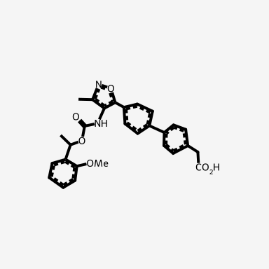 COc1ccccc1C(C)OC(=O)Nc1c(C)noc1-c1ccc(-c2ccc(CC(=O)O)cc2)cc1